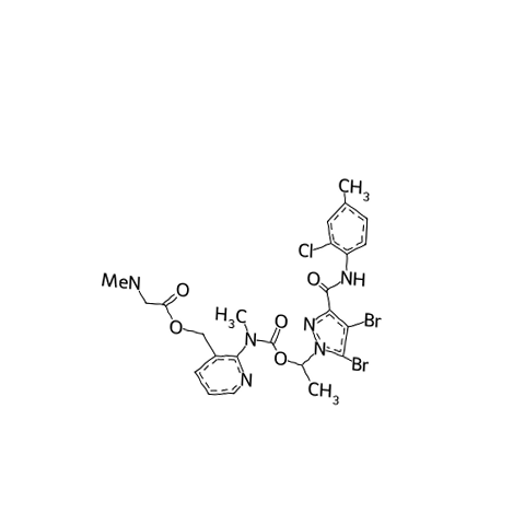 CNCC(=O)OCc1cccnc1N(C)C(=O)OC(C)n1nc(C(=O)Nc2ccc(C)cc2Cl)c(Br)c1Br